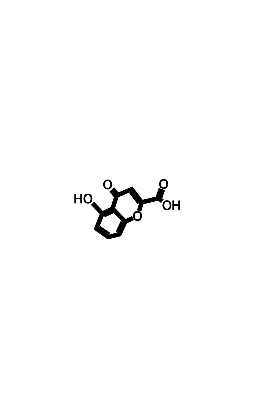 O=C(O)c1cc(=O)c2c(O)cccc2o1